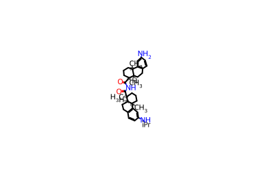 CC(C)Nc1ccc2c(c1)[C@@]1(C)CCC[C@](C)(C(=O)NC(=O)[C@@]3(C)CCC[C@]4(C)c5cc(N)ccc5CC[C@@H]34)[C@@H]1CC2